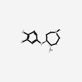 CN1CC[C@H](Oc2ccc(Cl)c(Cl)c2)[C@@H](O)CC1